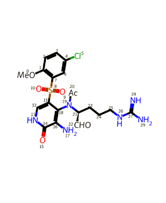 COc1ccc(Cl)cc1S(=O)(=O)c1c[nH]c(=O)c(N)c1N(C(C)=O)[C@H](C=O)CCCNC(=N)N